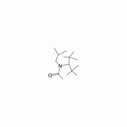 CC(=O)N(CC(C)C)C(C(C)(C)C)C(C)(C)C